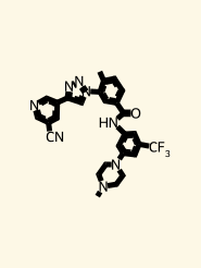 Cc1ccc(C(=O)Nc2cc(N3CCN(C)CC3)cc(C(F)(F)F)c2)cc1-n1cc(-c2cncc(C#N)c2)nn1